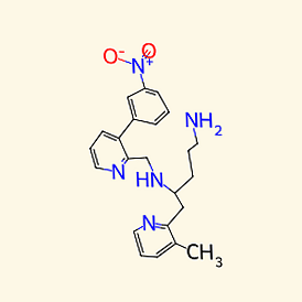 Cc1cccnc1CC(CCCN)NCc1ncccc1-c1cccc([N+](=O)[O-])c1